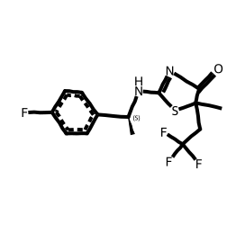 C[C@H](NC1=NC(=O)C(C)(CC(F)(F)F)S1)c1ccc(F)cc1